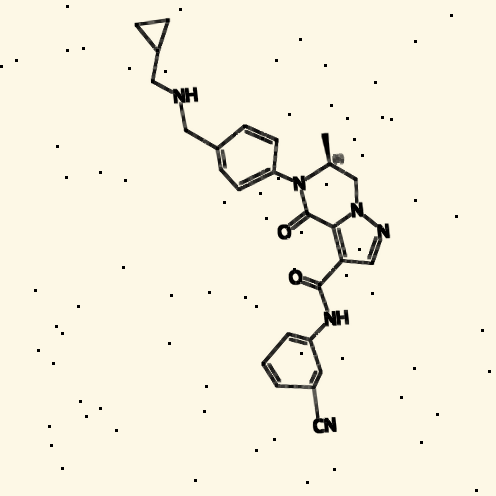 C[C@H]1Cn2ncc(C(=O)Nc3cccc(C#N)c3)c2C(=O)N1c1ccc(CNCC2CC2)cc1